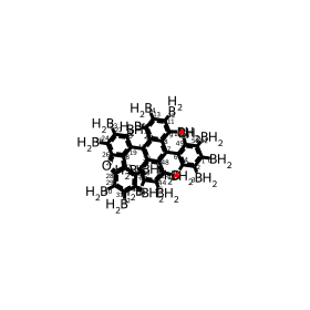 Bc1c(B)c(B)c(-c2c3c(B)c(B)c(B)c(B)c3c(-c3c(B)c(B)c(B)c4oc5c(B)c(B)c(B)c(B)c5c34)c3c(B)c(B)c(B)c(B)c23)c(B)c1B